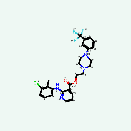 Cc1c(Cl)cccc1Nc1ncccc1C(=O)OCCN1CCN(c2cccc(C(F)(F)F)c2)CC1